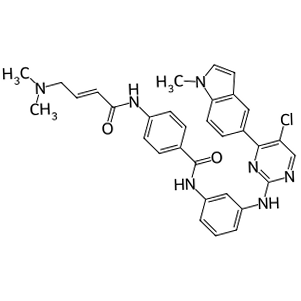 CN(C)C/C=C/C(=O)Nc1ccc(C(=O)Nc2cccc(Nc3ncc(Cl)c(-c4ccc5c(ccn5C)c4)n3)c2)cc1